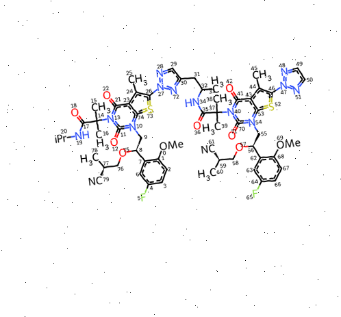 COc1ccc(F)cc1[C@H](Cn1c(=O)n(C(C)(C)C(=O)NC(C)C)c(=O)c2c(C)c(-n3ncc(CC(C)NC(=O)C(C)(C)n4c(=O)c5c(C)c(-n6nccn6)sc5n(C[C@H](OC[C@@H](C)C#N)c5cc(F)ccc5OC)c4=O)n3)sc21)OC[C@H](C)C#N